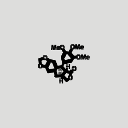 COc1cc([C@@H]2c3cc4c(cc3[CH][C@H]3COC(=O)[C@H]23)OCO4)cc(OC)c1OC